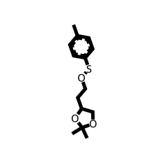 Cc1ccc(SOCCC2COC(C)(C)O2)cc1